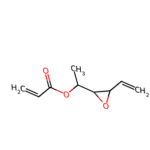 C=CC(=O)OC(C)C1OC1C=C